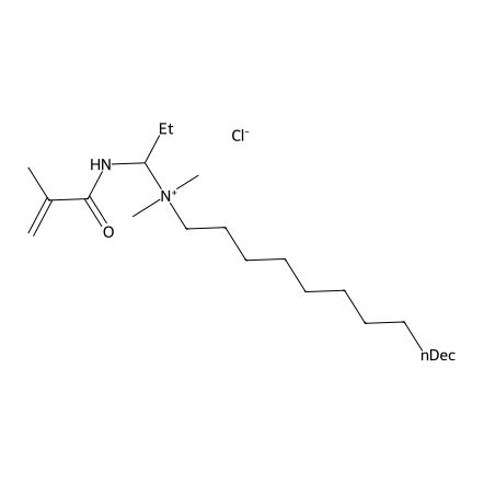 C=C(C)C(=O)NC(CC)[N+](C)(C)CCCCCCCCCCCCCCCCCC.[Cl-]